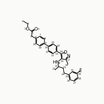 CCOC(=O)Cc1ccc(-c2ccc(-c3onc(C)c3NC(C)CCc3cccc(F)c3)cc2)cc1